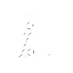 C=C(/C=C(/C=C/C=C/c1c(C)c2ccc(N(CC)CC)cc2oc1=O)c1ccc(N(CC)CCCS(=O)O)cc1C)C(C)(C)C